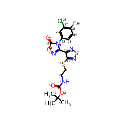 CC(C)(C)OC(=O)NCCSc1nsnc1-c1noc(=O)n1-c1ccc(F)c(Cl)c1